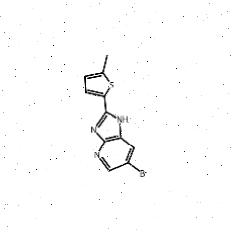 Cc1ccc(-c2nc3ncc(Br)cc3[nH]2)s1